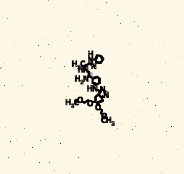 COCCOc1cc2ncnc(Nc3cccc(/C(N)=C/NC(C)c4nc5ccccc5[nH]4)c3)c2cc1OCCOC